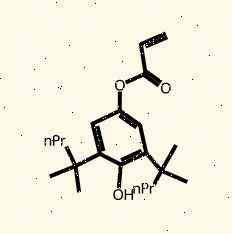 C=CC(=O)Oc1cc(C(C)(C)CCC)c(O)c(C(C)(C)CCC)c1